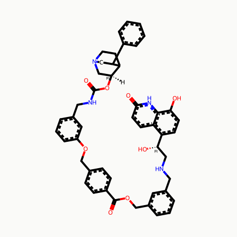 O=C(NCc1cccc(OCc2ccc(C(=O)OCc3cccc(CNC[C@H](O)c4ccc(O)c5[nH]c(=O)ccc45)c3)cc2)c1)O[C@H]1CN2CCC1C(c1ccccc1)C2